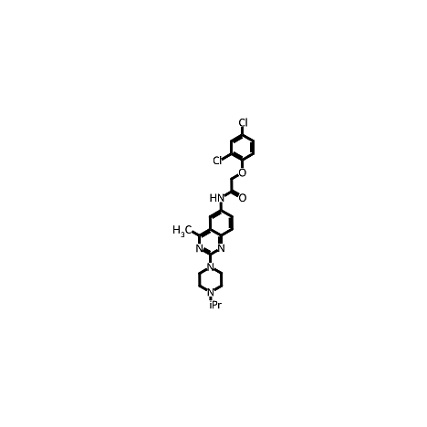 Cc1nc(N2CCN(C(C)C)CC2)nc2ccc(NC(=O)COc3ccc(Cl)cc3Cl)cc12